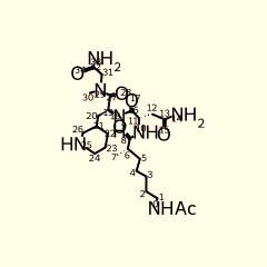 CC(=O)NCCCCC[C@H](C)C(=O)N[C@@H](CC(N)=O)C(=O)N[C@@H](CC1CCCNC1)C(=O)N(C)CC(N)=O